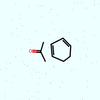 C1=CCCC=C1.CC(C)=O